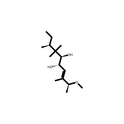 CC[C@H](C)C(C)(C)[C@@H](O)[C@@H](O)/C=C(\C)[C@H](C)OC